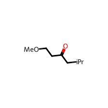 COCCC(=O)CC(C)C